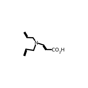 C=CCN(/C=C/C(=O)O)CC=C